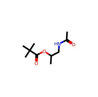 CC(=O)NCC(C)OC(=O)C(C)(C)C